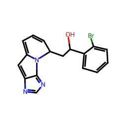 OC(CC1C=CC=c2cc3c(n21)=NC=N3)c1ccccc1Br